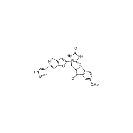 COc1ccc2c(c1)C(=O)N(C[C@@]1(c3cc4cnc(-c5cn[nH]c5)cc4o3)NC(=O)NC1=O)C2